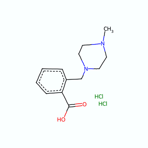 CN1CCN(Cc2ccccc2C(=O)O)CC1.Cl.Cl